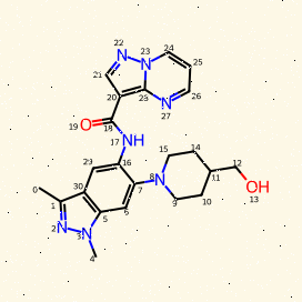 Cc1nn(C)c2cc(N3CCC(CO)CC3)c(NC(=O)c3cnn4cccnc34)cc12